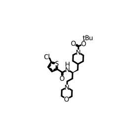 CC(C)(C)OC(=O)N1CCC(C[C@@H](CCN2CCOCC2)NC(=O)c2ccc(Cl)s2)CC1